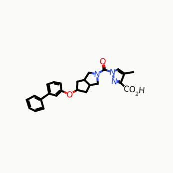 Cc1cn(C(=O)N2CC3CC(Oc4cccc(-c5ccccc5)c4)CC3C2)nc1C(=O)O